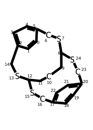 c1cc2ccc1CSC1CCCC(SC2)SCc2ccc(cc2)CS1